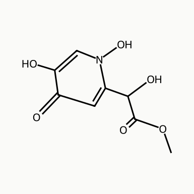 COC(=O)C(O)c1cc(=O)c(O)cn1O